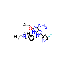 CN(C)Cc1ccc(Cn2c(-c3cncc(F)c3)nc3c(N)nc(OCC4CC4)nc32)cc1